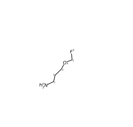 NCCCOCF